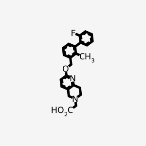 Cc1c(COc2ccc3c(n2)CCN(CC(=O)O)C3)cccc1-c1ccccc1F